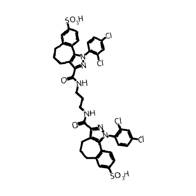 O=C(NCCCNC(=O)c1nn(-c2ccc(Cl)cc2Cl)c2c1CCCc1cc(S(=O)(=O)O)ccc1-2)c1nn(-c2ccc(Cl)cc2Cl)c2c1CCCc1cc(S(=O)(=O)O)ccc1-2